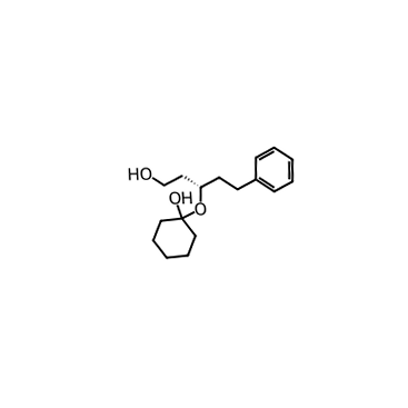 OCC[C@H](CCc1ccccc1)OC1(O)CCCCC1